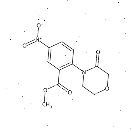 COC(=O)c1cc([N+](=O)[O-])ccc1N1CCOCC1=O